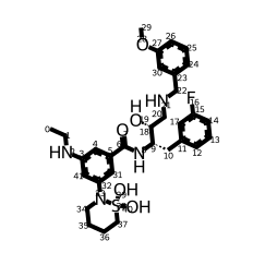 CCNc1cc(C(=O)N[C@@H](Cc2cccc(F)c2)[C@H](O)CNCc2cccc(OC)c2)cc(N2CCCCS2(O)O)c1